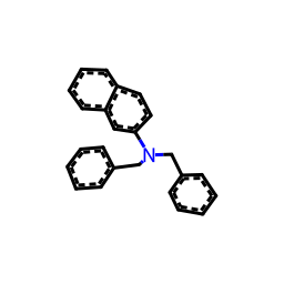 c1ccc(CN(Cc2ccccc2)c2ccc3ccccc3c2)cc1